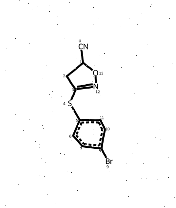 N#CC1CC(Sc2ccc(Br)cc2)=NO1